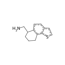 NCC1CCCc2c1ccc1ccsc21